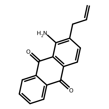 C=CCc1ccc2c(c1N)C(=O)c1ccccc1C2=O